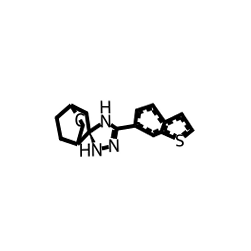 c1cc2ccc(C3=NN[C@@]4(CC5CCC4CC5)N3)cc2s1